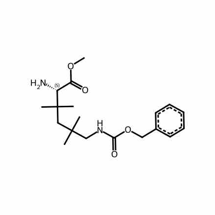 COC(=O)[C@@H](N)C(C)(C)CC(C)(C)CNC(=O)OCc1ccccc1